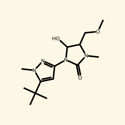 COCC1C(O)N(c2cc(C(C)(C)C)n(C)n2)C(=O)N1C